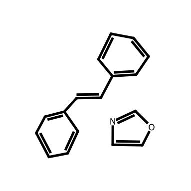 C(=Cc1ccccc1)c1ccccc1.c1cocn1